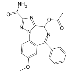 COc1ccc2c(c1)C(c1ccccc1)=NC(OC(C)=O)c1nc(C(N)=O)nn1-2